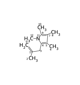 C=C(C)Cc1c(C)c(C)c(C)n1C